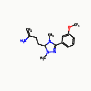 C=C(N)CCC1N(C)N=C(c2cccc(OC(F)(F)F)c2)N1C